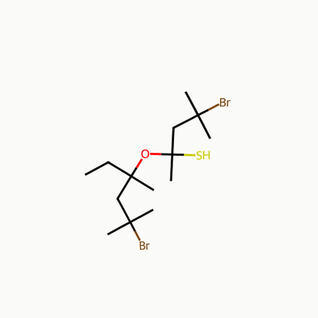 CCC(C)(CC(C)(C)Br)OC(C)(S)CC(C)(C)Br